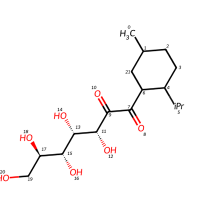 CC1CCC(C(C)C)C(C(=O)C(=O)[C@H](O)[C@@H](O)[C@H](O)[C@H](O)CO)C1